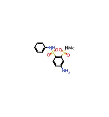 CNS(=O)(=O)c1cc(N)ccc1S(=O)(=O)Nc1ccccc1